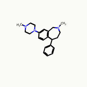 CN1CCN(c2ccc3c(c2)CN(C)CCC3c2ccccc2)CC1